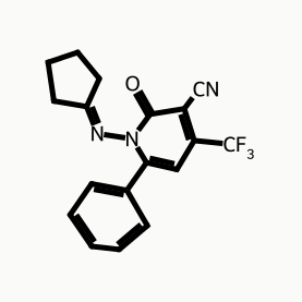 N#Cc1c(C(F)(F)F)cc(-c2ccccc2)n(N=C2CCCC2)c1=O